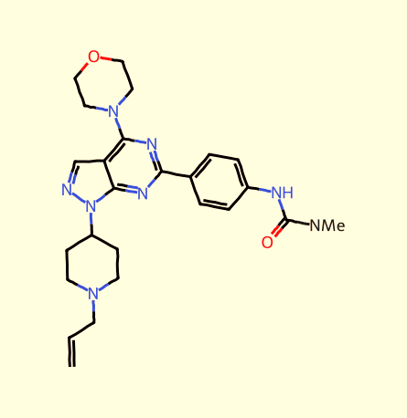 C=CCN1CCC(n2ncc3c(N4CCOCC4)nc(-c4ccc(NC(=O)NC)cc4)nc32)CC1